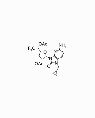 CC(=O)O[C@H]([C@@H]1C[C@@H](OC(C)=O)[C@H](n2c(=O)n(CC3CC3)c3cnc(N)nc32)O1)C(F)(F)F